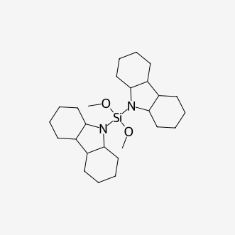 CO[Si](OC)(N1C2CCCCC2C2CCCCC21)N1C2CCCCC2C2CCCCC21